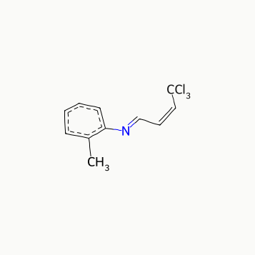 Cc1ccccc1/N=C/C=C\C(Cl)(Cl)Cl